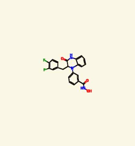 O=C(NO)c1cccc(N2c3ccccc3NC(=O)C2Cc2ccc(F)c(F)c2)c1